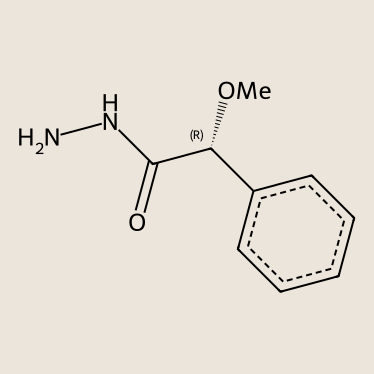 CO[C@@H](C(=O)NN)c1ccccc1